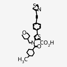 CC1CCC(C(=O)N(CC2CCOCC2)c2cc(-c3ccc(C#Cc4cscn4)cc3)sc2C(=O)O)CC1